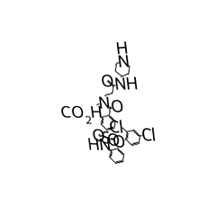 O=C(O)CN(CCC(=O)NC1CCNCC1)C(=O)c1ccc(S(=O)(=O)Nc2ccccc2Oc2ccc(Cl)cc2Cl)cc1